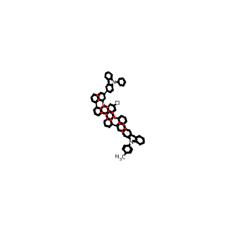 Cc1ccc(-n2c3ccccc3c3cc(-c4cccc(N(c5cc(Cl)cc(N(c6cccc(-c7ccc8c(c7)c7ccccc7n8-c7ccccc7)c6)c6c(-c7ccccc7)cccc6-c6ccccc6)c5)c5c(-c6ccccc6)cccc5-c5ccccc5)c4)ccc32)cc1